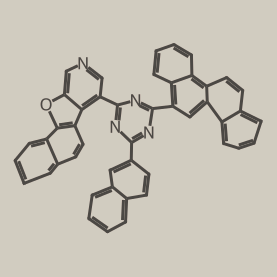 c1ccc2cc(-c3nc(-c4cc5c6ccccc6ccc5c5ccccc45)nc(-c4cncc5oc6c7ccccc7ccc6c45)n3)ccc2c1